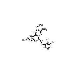 NC(=O)[C@H](CO)Nc1nc(SCc2cccc(F)c2F)nc2nc(N)sc12